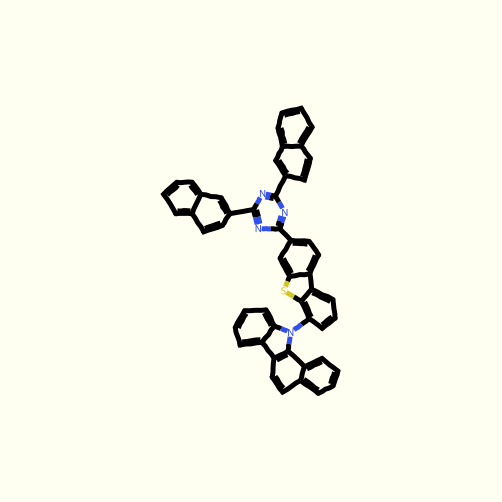 c1ccc2cc(-c3nc(-c4ccc5ccccc5c4)nc(-c4ccc5c(c4)sc4c(-n6c7ccccc7c7ccc8ccccc8c76)cccc45)n3)ccc2c1